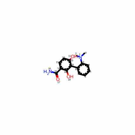 CN(C)c1ccccc1-c1c(O)ccc(C(N)=O)c1O